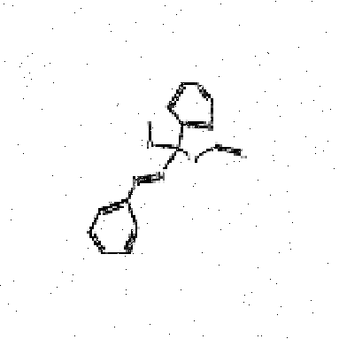 COC(N=Nc1ccccc1)(O[C]=O)c1ccccc1